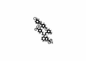 O=C(O)c1ccc(CCN(CCc2cc(F)ccc2OCc2ccc(-c3nc4cc(Cl)ccc4o3)cc2)C2CCCc3nc(C(=O)O)ccc32)cc1